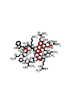 CC[C@H](C)[C@H](NC(=O)[C@H](CCCNC(=N)N)NC(=O)[C@H](Cc1ccc(O)cc1)NC(=O)CNC(=O)[C@H](CC(N)=O)NC(=O)[C@@H](NC(=O)[C@@H]1CCCN1C(=O)[C@H](CCC(N)=O)NC(=O)[C@H](CS)NC(=O)[C@H](CCCCN)NC(=O)[C@@H](N)Cc1c[nH]c2ccccc12)[C@@H](C)O)C(=O)N[C@@H](CCCNC(=N)N)C(=O)N[C@@H](CS)C(=O)N[C@@H](CCCNC(=N)N)C(=O)N[C@@H](CCCNC(=N)N)C(=O)N[C@@H](CC(=O)O)C(=O)O